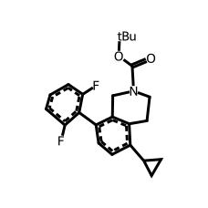 CC(C)(C)OC(=O)N1CCc2c(C3CC3)ccc(-c3c(F)cccc3F)c2C1